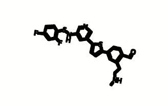 CNCCc1cc(-c2ccc(-c3cncc(NSc4ccc(F)cc4F)c3)s2)ccc1C=O